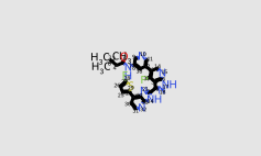 CC(C)(C)CC(=O)Nc1cncc(-c2cnc3[nH]nc(-c4nc5c(-c6ccc(F)s6)ccnc5[nH]4)c3c2F)c1